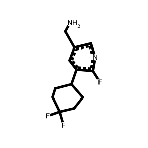 NCc1cnc(F)c(C2CCC(F)(F)CC2)c1